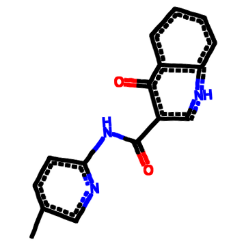 Cc1ccc(NC(=O)c2c[nH]c3ccccc3c2=O)nc1